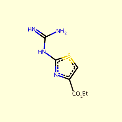 CCOC(=O)c1csc(NC(=N)N)n1